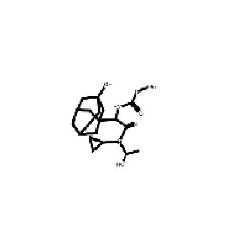 C[C@@H](C#N)N(C(=O)C(NC(=O)OC(C)(C)C)C12CC3CC(CC(O)(C3)C1)C2)C1CC1